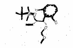 CC[C@H](O[Si](C)(C)C(C)(C)C)[C@@H](OCOC)c1c(Cl)cccc1Cl